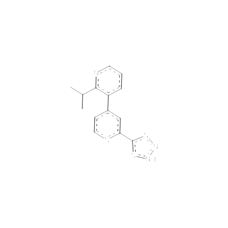 CC(C)c1ncccc1-c1ccnc(-c2nn[nH]n2)c1